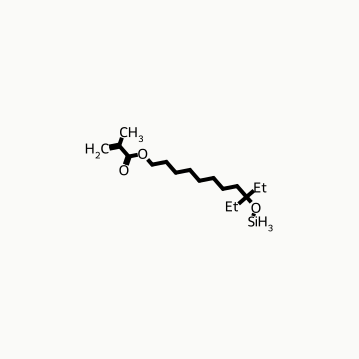 C=C(C)C(=O)OCCCCCCCCC(CC)(CC)O[SiH3]